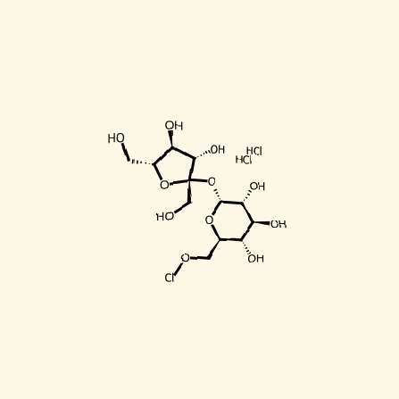 Cl.Cl.OC[C@H]1O[C@@](CO)(O[C@H]2O[C@H](COCl)[C@@H](O)[C@H](O)[C@H]2O)[C@@H](O)[C@@H]1O